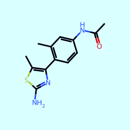 CC(=O)Nc1ccc(-c2nc(N)sc2C)c(C)c1